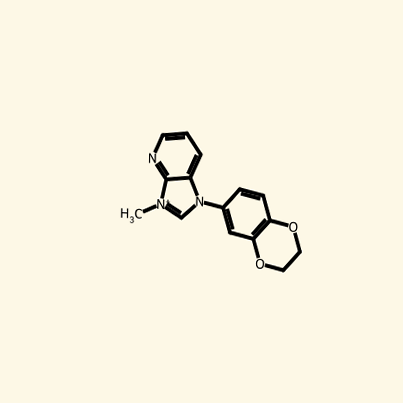 C[n+]1cn(-c2ccc3c(c2)OCCO3)c2cccnc21